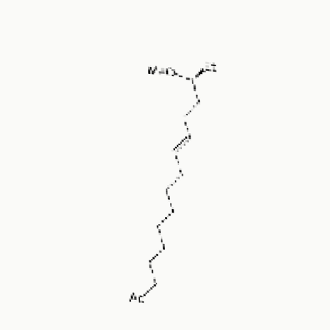 CC[C@@H](CCC=CCCCCCCCC(C)=O)OC